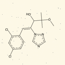 COC(C)(C)C(O)C(=Cc1ccc(Cl)cc1Cl)n1cncn1